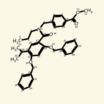 CCCN(Cc1ccc(C(=O)OC)cc1)C(=O)c1cc(C(C)C)c(OCc2ccccc2)cc1OCc1ccccc1